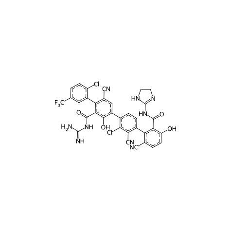 N#Cc1ccc(O)c(C(=O)NC2=NCCN2)c1-c1ccc(-c2cc(C#N)c(-c3cc(C(F)(F)F)ccc3Cl)c(C(=O)NC(=N)N)c2O)c(Cl)c1C#N